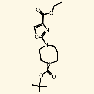 CCOC(=O)c1coc(N2CCCN(C(=O)OC(C)(C)C)CC2)n1